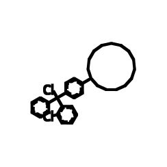 Clc1ccccc1C(Cl)(c1ccccc1)c1ccc(C2CCCCCCCCCCCCCC2)cc1